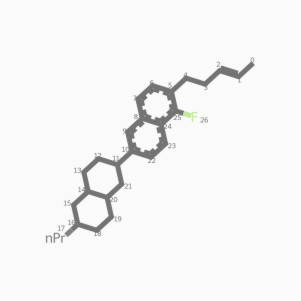 C/C=C/CCc1ccc2cc(C3CCC4CC(CCC)CCC4C3)ccc2c1F